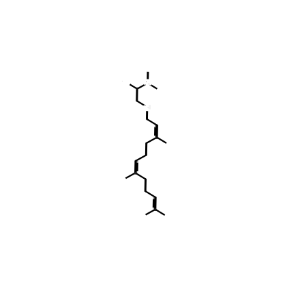 CC(=O)C(CNCC=C(C)CCC=C(C)CCC=C(C)C)N(C)C